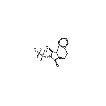 O=C1C2=CCc3ccccc3C2C(=O)N1OS(=O)(=O)C(F)(F)F